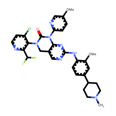 COc1ccc(N2C(=O)N(c3c(Cl)ccnc3C(F)F)Cc3cnc(Nc4ccc(C5CCN(C)CC5)cc4OC)nc32)nc1